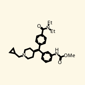 CCN(CC)C(=O)c1ccc(C(=C2CCN(CC3CC3)CC2)c2cccc(NC(=O)OC)c2)cc1